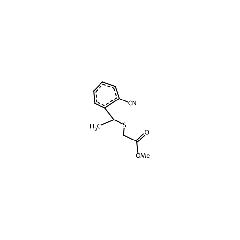 COC(=O)CSC(C)c1ccccc1C#N